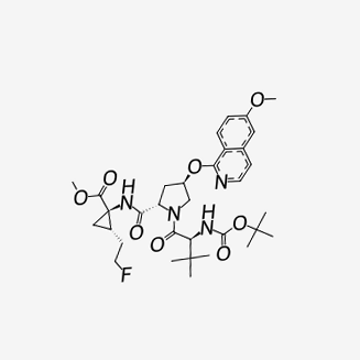 COC(=O)[C@@]1(NC(=O)[C@@H]2C[C@@H](Oc3nccc4cc(OC)ccc34)CN2C(=O)[C@@H](NC(=O)OC(C)(C)C)C(C)(C)C)C[C@H]1CCF